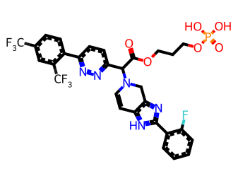 O=C(OCCCOP(=O)(O)O)C(c1ccc(-c2ccc(C(F)(F)F)cc2C(F)(F)F)nn1)N1C=Cc2[nH]c(-c3ccccc3F)nc2C1